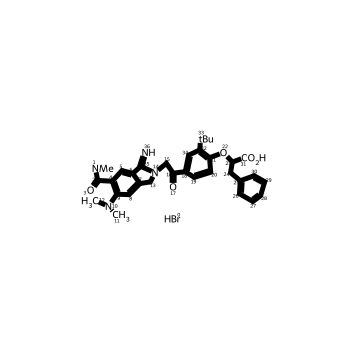 Br.CNC(=O)c1cc2c(cc1N(C)C)CN(CC(=O)c1ccc(OC(Cc3ccccc3)C(=O)O)c(C(C)(C)C)c1)C2=N